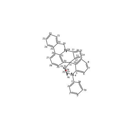 c1ccc(N2c3ccccc3C3(c4ccccc4N4Cc5ccccc5-c5cccc3c54)c3ccccc32)cc1